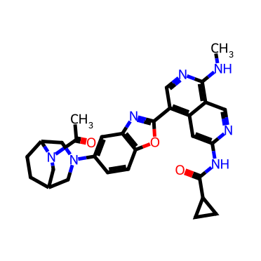 CNc1ncc(-c2nc3cc(N4CC5CCC(C4)N(C(C)=O)C5)ccc3o2)c2cc(NC(=O)C3CC3)ncc12